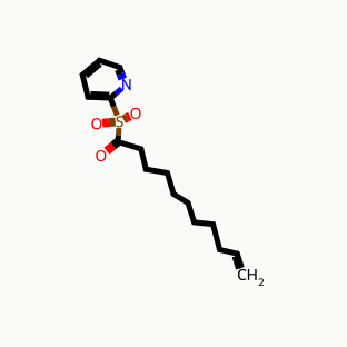 C=CCCCCCCCCC(=O)S(=O)(=O)c1ccccn1